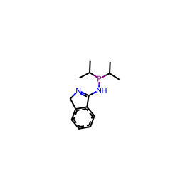 CC(C)P(NC1=NCc2ccccc21)C(C)C